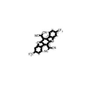 N#CC(C#N)=c1c2oc3cc(C(F)(F)F)ccc3c2c(=C(C#N)C#N)c2oc3cc(C(F)(F)F)ccc3c12